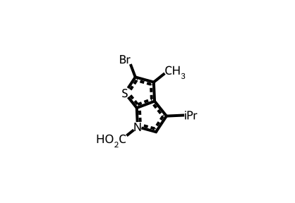 Cc1c(Br)sc2c1c(C(C)C)cn2C(=O)O